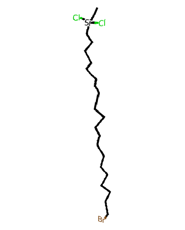 C[Si](Cl)(Cl)CCCCCCCCCCCCCCCCCCCCBr